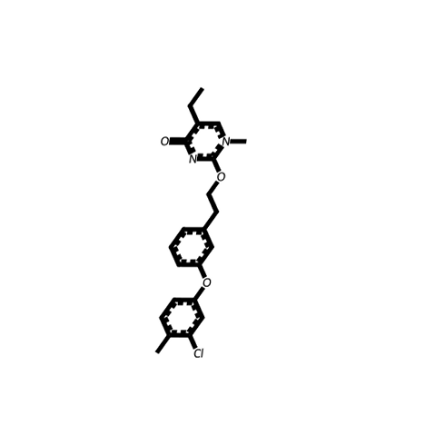 CCc1cn(C)c(OCCc2cccc(Oc3ccc(C)c(Cl)c3)c2)nc1=O